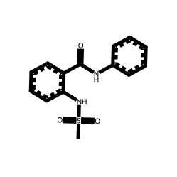 CS(=O)(=O)Nc1ccccc1C(=O)Nc1ccccc1